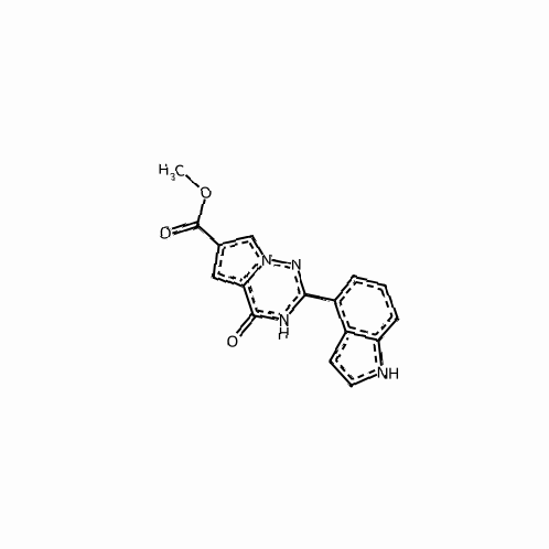 COC(=O)c1cc2c(=O)[nH]c(-c3cccc4[nH]ccc34)nn2c1